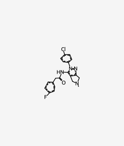 CN1Cc2nn(-c3ccc(Cl)cc3)c(NC(=O)Cc3ccc(F)cc3)c2C1